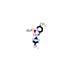 C[C@H]1CC[C@@H](CNc2ncc(C(F)(F)F)cn2)N(C(=O)OC(C)(C)C)C1